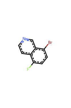 Fc1ccc(Br)c2cnccc12